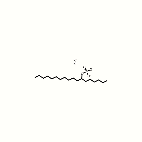 CCCCCCCCCCCC(CCCCCC)OP(=O)([O-])[O-].[K+].[K+]